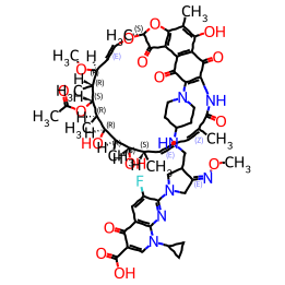 CO/N=C1/CN(c2nc3c(cc2F)c(=O)c(C(=O)O)cn3C2CC2)CC1CNC1CCN(C2=C3NC(=O)/C(C)=C\C=C\[C@H](C)[C@H](O)[C@@H](C)[C@@H](O)[C@@H](C)[C@H](OC(C)=O)[C@H](C)[C@@H](OC)/C=C/O[C@@]4(C)Oc5c(C)c(O)c(c(c5C4=O)C2=O)C3=O)CC1